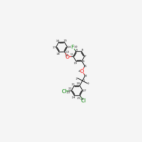 CC(C)(COCc1ccc(F)c(Oc2ccccc2)c1)c1cc(Cl)cc(Cl)c1